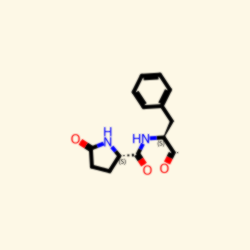 O=[C][C@H](Cc1ccccc1)NC(=O)[C@@H]1CCC(=O)N1